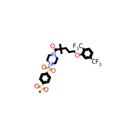 CC(C)(CCCOc1cc(C(F)(F)F)ccc1C(F)(F)F)C(=O)N1CCN(S(=O)(=O)c2ccc(S(C)(=O)=O)cc2)CC1